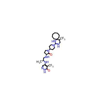 C[C@@H](CN[C@H]1CCN(C2CCN(C3NCC(C(F)(F)F)C4(CCCCCCC4)N3)CC2)C1=O)Nc1cn[nH]c(=O)c1C(F)(F)F